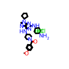 COc1ccc(C(=O)N2CCC(Nc3nc(NC4CCC(N)CC4)nc4c3ncn4C3CCCC3)CC2)cc1.Cl.Cl